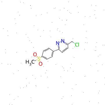 CS(=O)(=O)c1ccc(-c2ccc(CCl)nn2)cc1